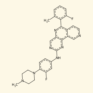 Cc1cccc(F)c1-c1nc2cnc(Nc3ccc(N4CCN(C)CC4)c(F)c3)nc2c2cnccc12